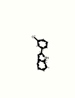 Clc1cc[c]c(-c2cc3ccccc3[nH]2)c1